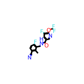 Cc1c(C#N)ccc(F)c1CNC(=O)c1cnc(OC(F)F)c(F)c1